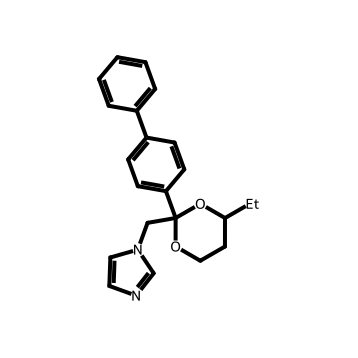 CCC1CCOC(Cn2ccnc2)(c2ccc(-c3ccccc3)cc2)O1